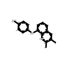 Cc1cc2cccc(Oc3ccc(Cl)cc3)c2nc1C